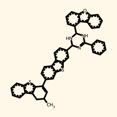 CC1C=C(c2ccc3c(c2)sc2cc(C4N=C(c5ccccc5)NC(c5cccc6oc7ccccc7c56)N4)ccc23)c2sc3ccccc3c2C1